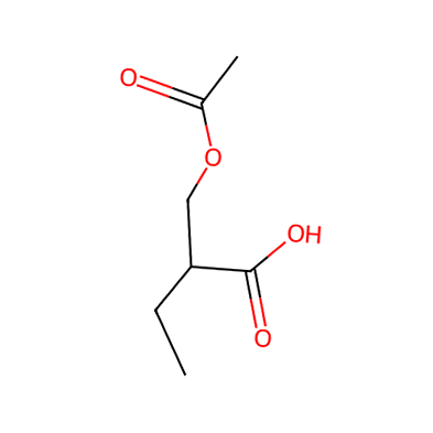 CCC(COC(C)=O)C(=O)O